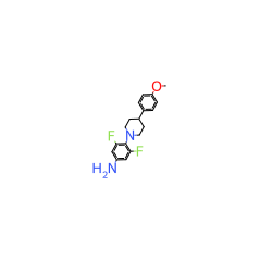 COc1ccc(C2CCN(c3c(F)cc(N)cc3F)CC2)cc1